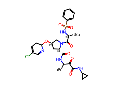 CCCC(NC(=O)[C@@H]1C[C@@H](OC2CC=C(Cl)C=N2)CN1C(=O)[C@@H](NS(=O)(=O)c1ccccc1)C(C)(C)C)C(=O)C(=O)NC1CC1